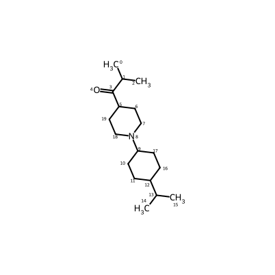 CC(C)C(=O)C1CCN(C2CCC(C(C)C)CC2)CC1